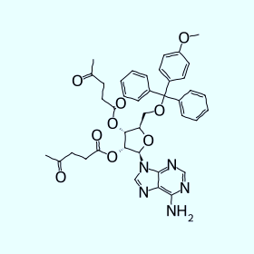 COc1ccc(C(OC[C@H]2O[C@@H](n3cnc4c(N)ncnc43)[C@H](OC(=O)CCC(C)=O)[C@@H]2OC(=O)CCC(C)=O)(c2ccccc2)c2ccccc2)cc1